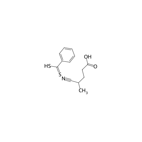 CC(C#N)CCC(=O)O.S=C(S)c1ccccc1